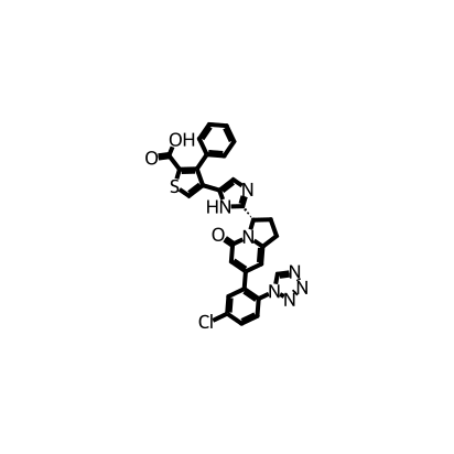 O=C(O)c1scc(-c2cnc([C@@H]3CCc4cc(-c5cc(Cl)ccc5-n5cnnn5)cc(=O)n43)[nH]2)c1-c1ccccc1